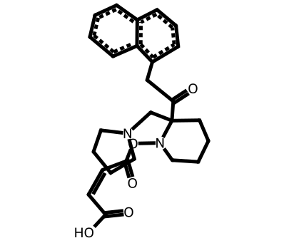 O=C(O)/C=C\C(=O)ON1CCCCC1(CN1CCCC1)C(=O)Cc1cccc2ccccc12